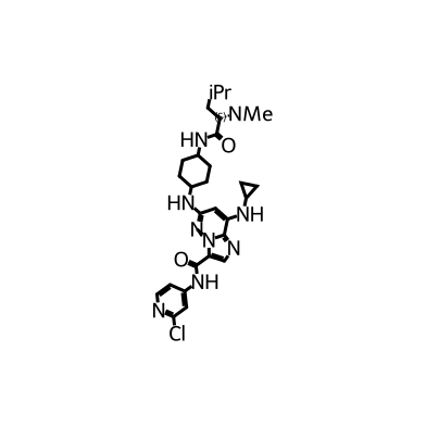 CN[C@@H](CC(C)C)C(=O)NC1CCC(Nc2cc(NC3CC3)c3ncc(C(=O)Nc4ccnc(Cl)c4)n3n2)CC1